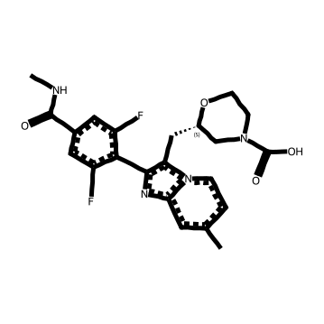 CNC(=O)c1cc(F)c(-c2nc3cc(C)ccn3c2C[C@H]2CN(C(=O)O)CCO2)c(F)c1